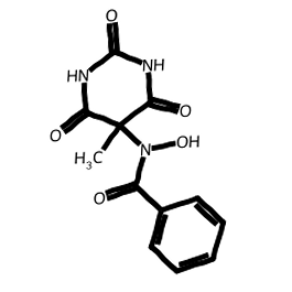 CC1(N(O)C(=O)c2ccccc2)C(=O)NC(=O)NC1=O